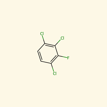 Fc1c(Cl)ccc(Cl)c1Cl